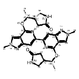 C[C@@H](Oc1nc(-c2cc3nn(C)cc3c(O[C@H](C)[C@@H]3CNC(=O)C3)n2)cc2nn(C)cc12)C1CNC(=O)C1